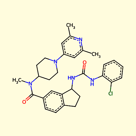 Cc1cc(N2CCC(N(C)C(=O)c3ccc4c(c3)C(NC(=O)Nc3ccccc3Cl)CC4)CC2)cc(C)n1